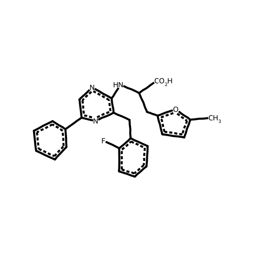 Cc1ccc(CC(Nc2ncc(-c3ccccc3)nc2Cc2ccccc2F)C(=O)O)o1